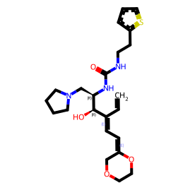 C=C/C(=C\C=C1/COCCO1)[C@@H](O)[C@@H](CN1CCCC1)NC(=O)NCCc1cccs1